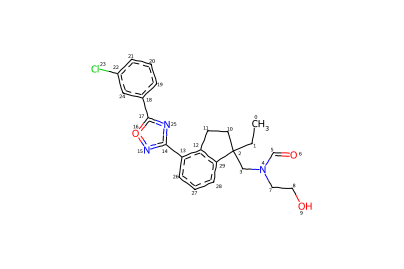 CCC1(CN(C=O)CCO)CCc2c(-c3noc(-c4cccc(Cl)c4)n3)cccc21